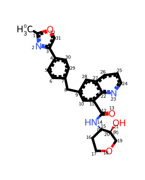 Cc1nc(-c2ccc(Cc3cc(C(=O)N[C@H]4CCOC[C@@H]4O)c4ncccc4c3)cc2)co1